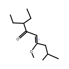 CCC(CC)C(=O)/C=C(/CC(C)C)OC